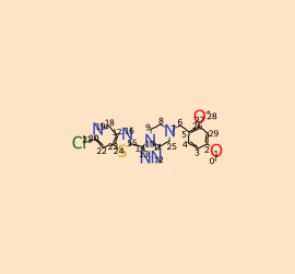 COc1ccc(CN2CCn3c(nnc3-c3nc4cnc(Cl)cc4s3)C2)c(OC)c1